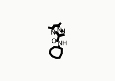 Cc1cc(C)n2ncc(C(=O)NC3CCCCCCCC3)c2n1